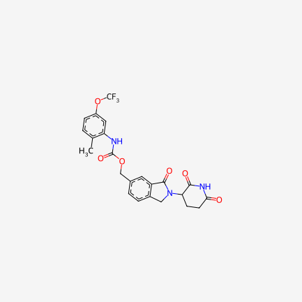 Cc1ccc(OC(F)(F)F)cc1NC(=O)OCc1ccc2c(c1)C(=O)N(C1CCC(=O)NC1=O)C2